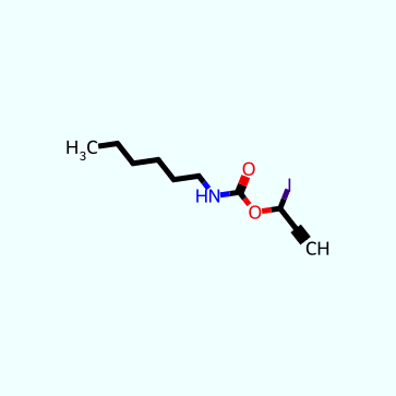 C#CC(I)OC(=O)NCCCCCC